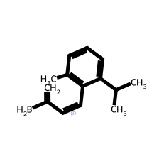 BC(=C)/C=C\c1c(C)cccc1C(C)C